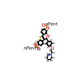 CCCCCS(=O)(=O)c1ccc(-c2sc3cc(S(=O)(=O)CCCCC)ccc3c2C(=O)c2ccc(OCCN3CCCCC3)cc2)cc1